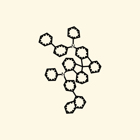 c1ccc(-c2cccc(N(c3ccccc3)c3ccc4c(c3)C3(c5ccccc5-4)c4ccccc4-c4c(N(c5ccccc5)c5ccc(-c6cccc7ccccc67)cc5)cccc43)c2)cc1